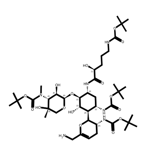 CN(C(=O)OC(C)(C)C)[C@@H]1[C@@H](O)[C@@H](O[C@@H]2[C@@H](O)[C@H](C3OC(CN)=CC[C@H]3NC(=O)OC(C)(C)C)[C@@H](NC(=O)OC(C)(C)C)C[C@H]2NC(=O)[C@@H](O)CCCNC(=O)OC(C)(C)C)OC[C@]1(C)O